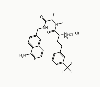 C[C@@H](C(=O)NCc1ccc2c(N)nccc2c1)N(C)C(=O)[C@H](N)CCc1cccc(C(F)(F)F)c1.Cl.Cl